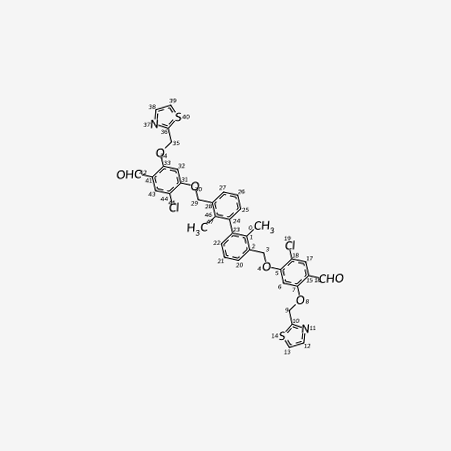 Cc1c(COc2cc(OCc3nccs3)c(C=O)cc2Cl)cccc1-c1cccc(COc2cc(OCc3nccs3)c(C=O)cc2Cl)c1C